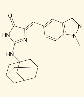 Cn1ncc2cc(/C=C3\N=C(NC45CC6CC(CC(C6)C4)C5)NC3=O)ccc21